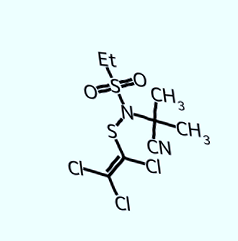 CCS(=O)(=O)N(SC(Cl)=C(Cl)Cl)C(C)(C)C#N